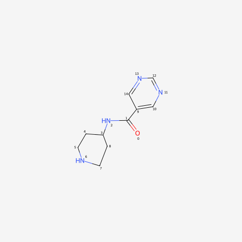 O=C(NC1CCNCC1)c1cncnc1